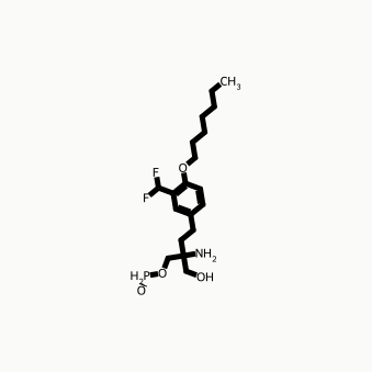 CCCCCCCOc1ccc(CCC(N)(CO)CO[PH2]=O)cc1C(F)F